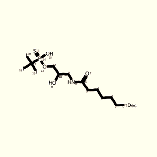 CCCCCCCCCCCCCCCC(=O)NCC(O)COP(O)(=S)C(I)(I)I